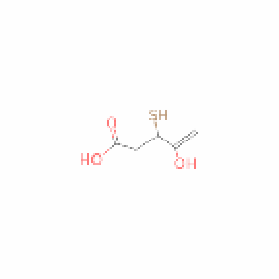 C=C(O)C(S)CC(=O)O